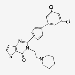 O=c1c2sccc2nc(-c2ccc(-c3cc(Cl)cc(Cl)c3)cc2)n1CCN1CCCCC1